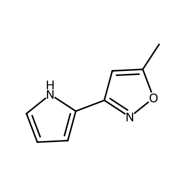 Cc1cc(-c2ccc[nH]2)no1